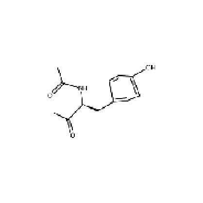 CC(=O)N[C@@H](Cc1ccc(O)cc1)C(C)=O